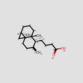 C=C1CCC23C[C@@]2(C)CCC[C@]3(C)[C@H]1CCCC(=O)O